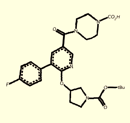 CC(C)(C)OC(=O)N1CCC(Oc2ncc(C(=O)N3CCN(C(=O)O)CC3)cc2-c2ccc(F)cc2)C1